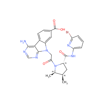 C[C@@H]1C[C@@H](C(=O)Nc2cccc(Br)n2)N(C(=O)Cn2c3cc(C(=O)O)ccc3c3c(N)ncnc32)[C@@H]1C